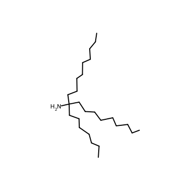 CCCCCCCCCC(N)(CCCCCCC)CCCCCCCCC